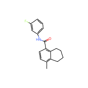 Cc1ccc(C(=O)Nc2cccc(F)c2)c2c1CCCC2